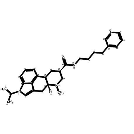 CC(C)n1cc2c3c(cccc31)C1C[C@@H](C(=O)NCCCCc3cccnc3)CN(C)[C@@H]1C2